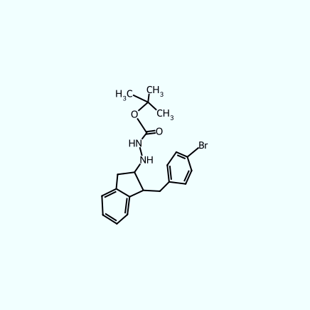 CC(C)(C)OC(=O)NNC1Cc2ccccc2C1Cc1ccc(Br)cc1